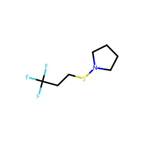 FC(F)(F)CCSN1CCCC1